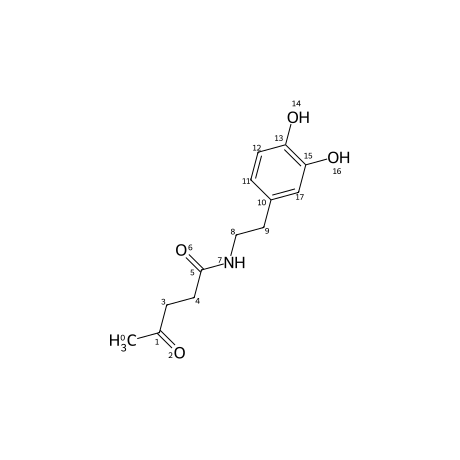 CC(=O)CCC(=O)NCCc1ccc(O)c(O)c1